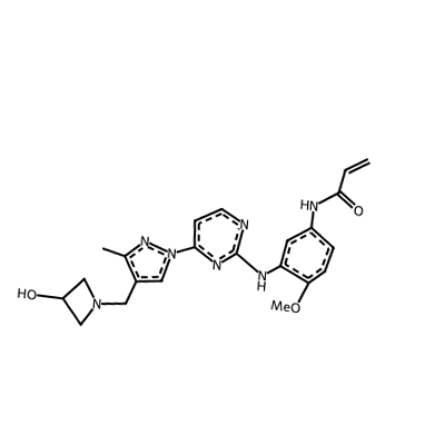 C=CC(=O)Nc1ccc(OC)c(Nc2nccc(-n3cc(CN4CC(O)C4)c(C)n3)n2)c1